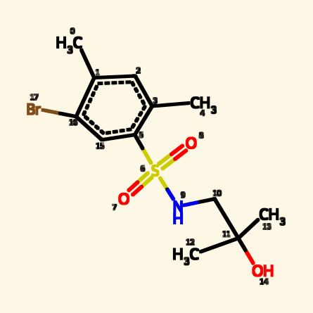 Cc1cc(C)c(S(=O)(=O)NCC(C)(C)O)cc1Br